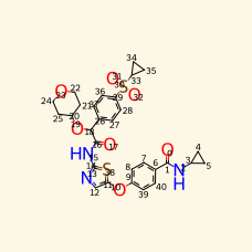 O=C(NC1CC1)c1ccc(Oc2cnc(NC(=O)C(OC3CCOCC3)c3ccc(S(=O)(=O)C4CC4)cc3)s2)cc1